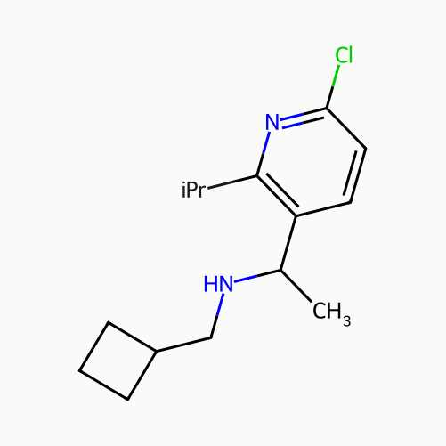 CC(C)c1nc(Cl)ccc1C(C)NCC1CCC1